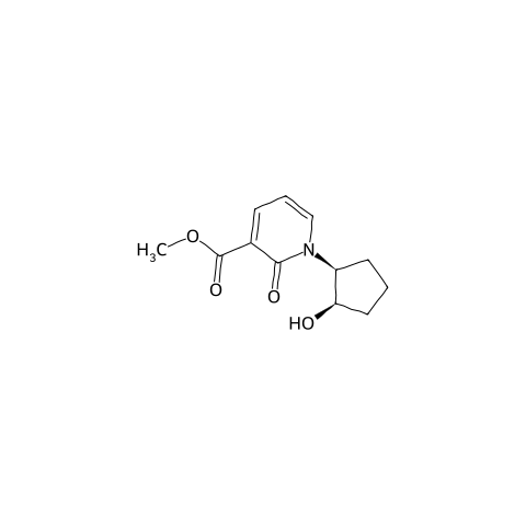 COC(=O)c1cccn([C@H]2CCC[C@H]2O)c1=O